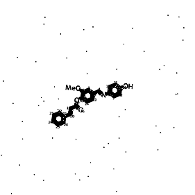 COc1cc(/C=N/c2ccc(O)cc2)ccc1OC(=O)C=Cc1ccccc1